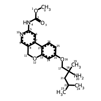 COC(=O)Nc1cc2c(cn1)COc1cc(OCC(C)(N)CC(C)C)ccc1-2